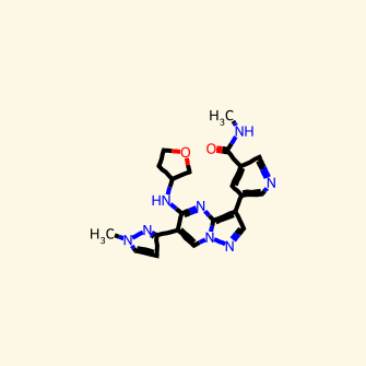 CNC(=O)c1cncc(-c2cnn3cc(-c4ccn(C)n4)c(NC4CCOC4)nc23)c1